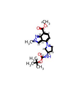 COC(=O)c1ccc(N2CC[C@@H](NC(=O)OC(C)(C)C)C2)c2cn(C)nc12